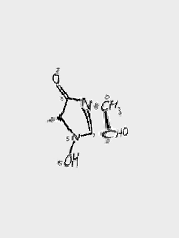 CC=O.O=C1CN(O)C=N1